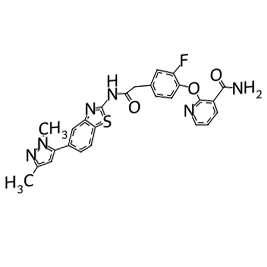 Cc1cc(-c2ccc3sc(NC(=O)Cc4ccc(Oc5ncccc5C(N)=O)c(F)c4)nc3c2)n(C)n1